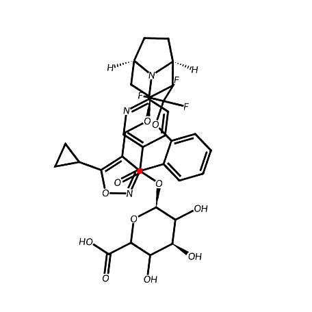 O=C(O[C@@H]1OC(C(=O)O)C(O)[C@H](O)C1O)c1ccc(N2[C@@H]3CC[C@H]2C[C@@H](OCc2c(-c4ccccc4OC(F)(F)F)noc2C2CC2)C3)nc1